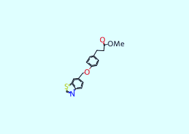 COC(=O)CCc1ccc(OCc2ccc3ncsc3c2)cc1